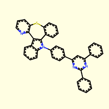 c1ccc(-c2cc(-c3ccc(-n4c5c(c6ccccc64)-c4ncccc4Sc4ccccc4-5)cc3)nc(-c3ccccc3)n2)cc1